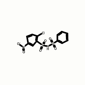 O=[N+]([O-])c1ccc(Cl)c(S(=O)(=O)NS(=O)(=O)c2ccccc2)c1